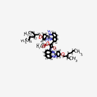 CCCCC(CC)COc1ccc(B2N=c3/c(=C4\C(=O)C(c5ccc6cccc7c6c5NB(c5ccc(OCC(CC)CCCC)cc5)N7)=C4OOC)ccc4cccc(c34)N2)cc1